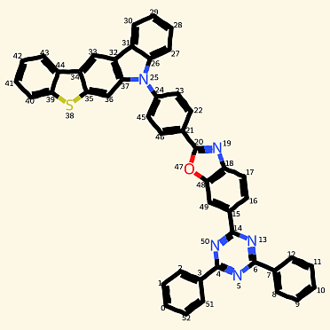 c1ccc(-c2nc(-c3ccccc3)nc(-c3ccc4nc(-c5ccc(-n6c7ccccc7c7cc8c(cc76)sc6ccccc68)cc5)oc4c3)n2)cc1